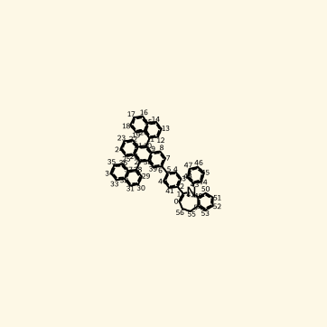 C1=C(c2ccc(-c3ccc4c(-c5cccc6ccccc56)c5ccccc5c(-c5cccc6ccccc56)c4c3)cc2)N(c2ccccc2)c2ccccc2CC1